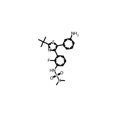 CN(C)S(=O)(=O)Nc1cccc(-c2nc(C(C)(C)C)sc2-c2cccc(N)c2)c1F